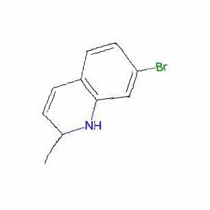 CC1C=Cc2ccc(Br)cc2N1